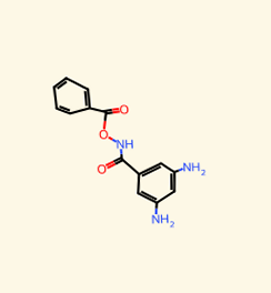 Nc1cc(N)cc(C(=O)NOC(=O)c2ccccc2)c1